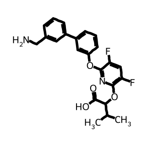 CC(C)C(Oc1nc(Oc2cccc(-c3cccc(CN)c3)c2)c(F)cc1F)C(=O)O